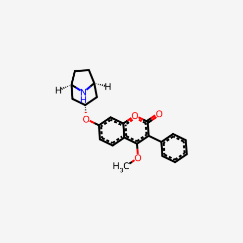 COc1c(-c2ccccc2)c(=O)oc2cc(O[C@@H]3C[C@H]4CC[C@@H](C3)N4)ccc12